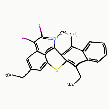 Cc1c2c(c(CC(C)(C)C)c3ccccc13)Sc1cc(CC(C)(C)C)cc3c(I)c(I)[n+](C)c-2c13